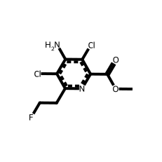 COC(=O)c1nc(CCF)c(Cl)c(N)c1Cl